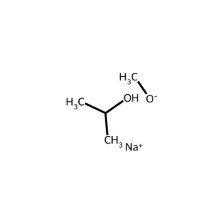 CC(C)O.C[O-].[Na+]